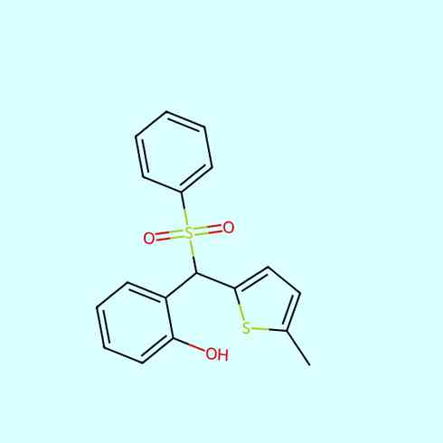 Cc1ccc(C(c2ccccc2O)S(=O)(=O)c2ccccc2)s1